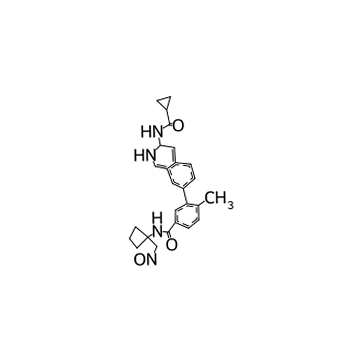 Cc1ccc(C(=O)NC2(CN=O)CCC2)cc1-c1ccc2c(c1)=CNC(NC(=O)C1CC1)C=2